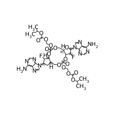 CC(C)OC(=O)OCOP1(=O)OC[C@H]2C[C@@H](n3cnc4c(N)ncnc43)C(F)[C@H]2OP(=O)(OCOC(=O)OC(C)C)OC[C@H]2O[C@@H](n3cnc4c(N)ncnc43)[C@@H](F)C2O1